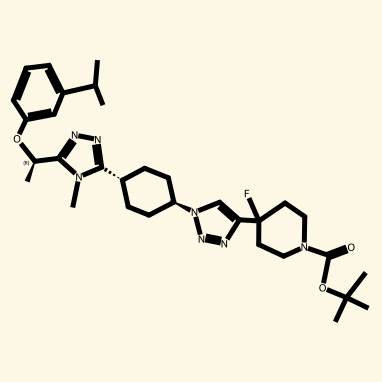 CC(C)c1cccc(O[C@H](C)c2nnc([C@H]3CC[C@H](n4cc(C5(F)CCN(C(=O)OC(C)(C)C)CC5)nn4)CC3)n2C)c1